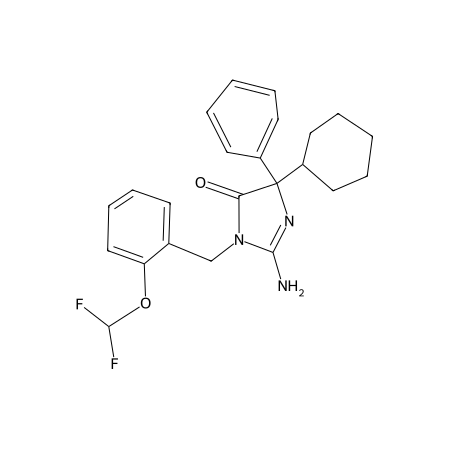 NC1=NC(c2ccccc2)(C2CCCCC2)C(=O)N1Cc1ccccc1OC(F)F